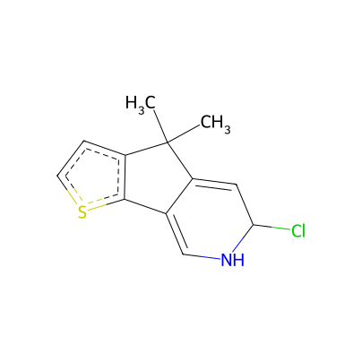 CC1(C)C2=CC(Cl)NC=C2c2sccc21